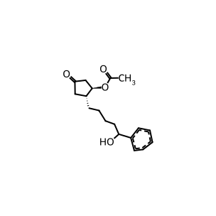 CC(=O)O[C@@H]1CC(=O)C[C@H]1CCCCC(O)c1ccccc1